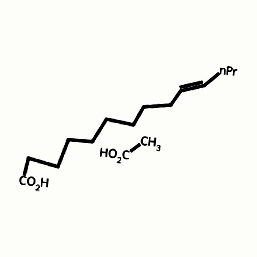 CC(=O)O.CCC/C=C/CCCCCCCCC(=O)O